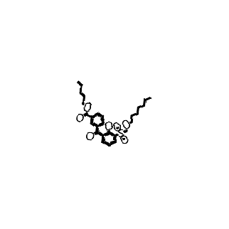 CCCCCCCOCS(=O)(=O)c1cccc2c(=O)c3cc(C(=O)OCCCCC)ccc3oc12